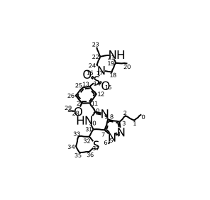 CCCc1nn(C)c2c1N=C(c1cc(S(=O)(=O)N3CC(C)NC(C)C3)ccc1OC)NC2C1CCCCS1